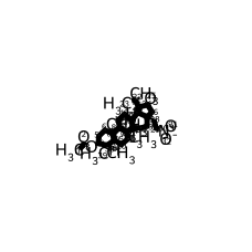 CC(=O)O[C@H]1CC[C@@]2(C)[C@@H](CC[C@]3(C)[C@]2(C)CC[C@@H]2C4=C(C(C)C)C(=O)C[C@]4(CC[N+](=O)[O-])CC[C@]23C)C1(C)C